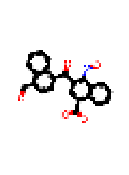 O=Cc1ccc(C(=O)c2cc(C(=O)O)c3ccccc3c2N=O)c2ccccc12